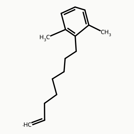 [CH]=CCCCCCCc1c(C)cccc1C